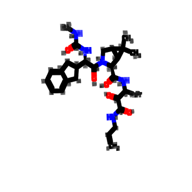 C=CCNC(=O)C(=O)C(CCC)NC(=O)[C@@H]1C2C(CN1C(=O)[C@@H](NC(=O)NC(C)CC)C1Cc3ccccc3C1)C2(C)C